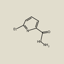 CCc1cccc(C(=O)NN)n1